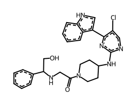 O=C(CNC(CO)c1ccccc1)N1CCC(Nc2ncc(Cl)c(-c3c[nH]c4ccccc34)n2)CC1